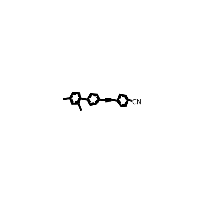 Cc1ccc(-c2ccc(C#Cc3ccc(C#N)cc3)cc2)c(C)c1